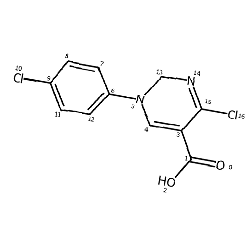 O=C(O)C1=CN(c2ccc(Cl)cc2)CN=C1Cl